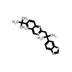 CC(C)(C)c1ccc2nc(CC(C)(C)c3ccc4ncsc4c3)ncc2n1